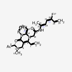 C=CC1=C(CN(C)CC(C)=O)C(=O)N(N=C)/C(=C\CCC)N1CC(=O)N/C(C)=C/C=C(/F)C=C